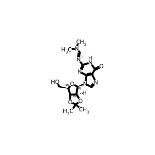 CN(C)/C=N/c1nc2c(ncn2[C@@H]2O[C@H](CO)C3OC(C)(C)O[C@@H]32)c(=O)[nH]1